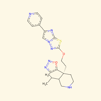 CC(C)C1CNCC[C@]1(CCOc1nn2cc(-c3ccncc3)nc2s1)c1cnno1